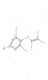 FC(F)=C(F)Oc1c(F)cc(Br)cc1F